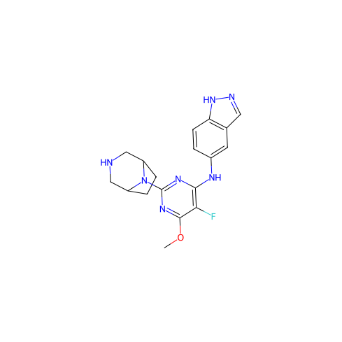 COc1nc(N2C3CCC2CNC3)nc(Nc2ccc3[nH]ncc3c2)c1F